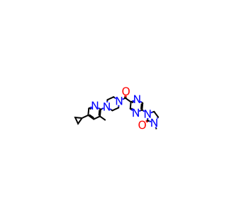 Cc1cc(C2CC2)cnc1N1CCN(C(=O)c2cnc(N3CCN(C)C3=O)cn2)CC1